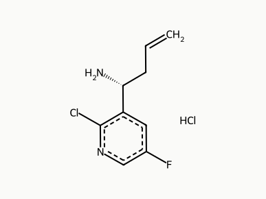 C=CC[C@@H](N)c1cc(F)cnc1Cl.Cl